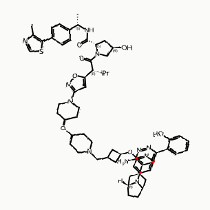 Cc1ncsc1-c1ccc([C@H](C)NC(=O)[C@@H]2C[C@@H](O)CN2C(=O)[C@@H](c2cc(N3CCC(OC4CCN(CC5CC(Oc6cc(N7C8CC[C@@H]7CN(c7cc(-c9ccccc9O)nnc7N)C8)ccn6)C5)CC4)CC3)no2)C(C)C)cc1